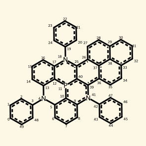 c1ccc(N2c3cccc4c3p3c5c2cccc5n(-c2ccccc2)c2c5ccc6cccc7ccc(c5c76)c(c23)n4-c2ccccc2)cc1